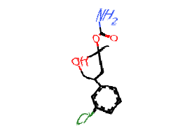 CC(C)(CC(CO)c1cccc(Cl)c1)OC(N)=O